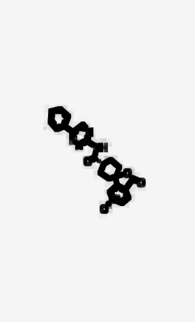 O=C1O[C@]2(CC[C@@H](C(=O)Nc3ncc(-c4ccccc4)nn3)CC2)c2c[n+]([O-])ccc21